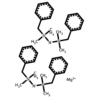 C[Si](C)(Cc1ccccc1)[N-][Si](C)(C)Cc1ccccc1.C[Si](C)(Cc1ccccc1)[N-][Si](C)(C)Cc1ccccc1.[Mg+2]